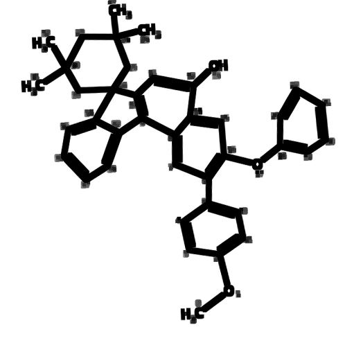 COc1ccc(-c2cc3c4c(cc(O)c3cc2Oc2ccccc2)C2(CC(C)(C)CC(C)(C)C2)c2ccccc2-4)cc1